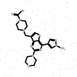 CC(C)C(=O)N1CCN(Cc2csc3c(-c4cnn(C)c4)nc(N4CCOCC4)nc23)CC1